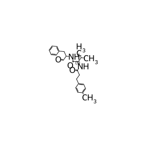 Cc1ccc(CCC(=O)N[C@H](C(=O)NC(C=O)Cc2ccccc2)C(C)C)cc1